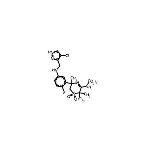 CC1(c2cc(NCc3n[nH]cc3Cl)ccc2F)CS(=O)(=O)C(C)(C)C(NC(=O)O)=N1